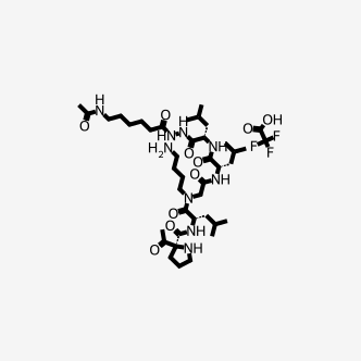 CC(=O)NCCCCCC(=O)NNC(=O)[C@H](CC(C)C)NC(=O)[C@H](CC(C)C)NC(=O)CN(CCCCN)C(=O)[C@H](CC(C)C)NC(=O)[C@@]1(C(C)=O)CCCN1.O=C(O)C(F)(F)F